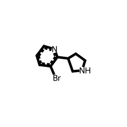 Brc1cccnc1C1CCNC1